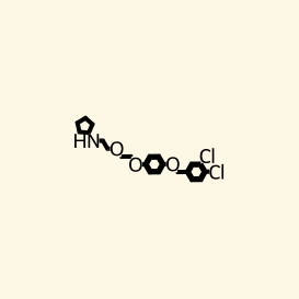 Clc1ccc(COc2ccc(OCCOCCNC3CCCC3)cc2)cc1Cl